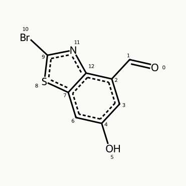 O=Cc1cc(O)cc2sc(Br)nc12